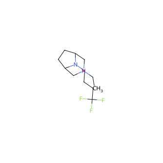 CCN1CC2CCC(C1)N2CCCC(F)(F)F